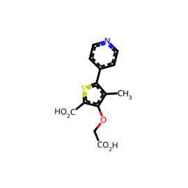 Cc1c(-c2ccncc2)sc(C(=O)O)c1OCC(=O)O